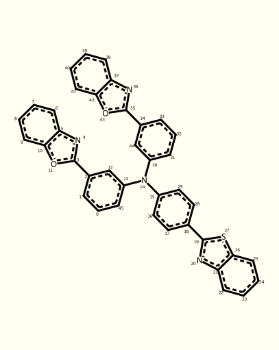 c1cc(-c2nc3ccccc3o2)cc(N(c2ccc(-c3nc4ccccc4s3)cc2)c2cccc(-c3nc4ccccc4o3)c2)c1